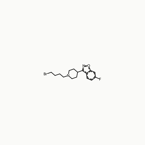 Fc1ccc2c(C3CCN(CCCCBr)CC3)noc2c1